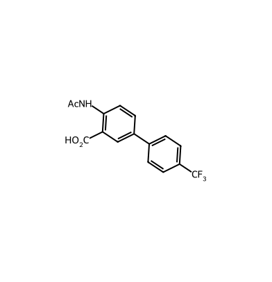 CC(=O)Nc1ccc(-c2ccc(C(F)(F)F)cc2)cc1C(=O)O